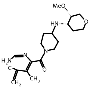 C=C(Cl)/C(C)=C(\N=C/N)C(=O)N1CCC(N[C@H]2CCOC[C@H]2OC)CC1